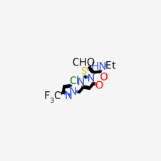 CCNC(=O)c1c(C=O)sc2nc(Cn3nc(C(F)(F)F)cc3Cl)cc(=O)n12